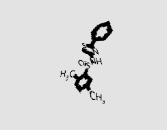 Cc1ccc(C)c([S+]([O-])Nc2csc(-c3ccccc3)n2)c1